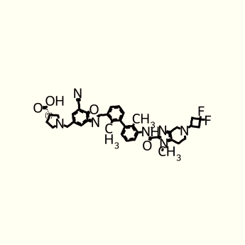 Cc1c(NC(=O)c2nc3c(n2C)CCN(C2CC(F)(F)C2)C3)cccc1-c1cccc(-c2nc3cc(CN4CC[C@H](C(=O)O)C4)cc(C#N)c3o2)c1C